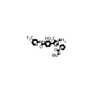 CC(C)(C)OC(=O)N1CCC[C@H]1c1nc(-c2ccc(C(=O)Nc3cc(C(F)(F)F)ccn3)cc2)c(C(=O)O)n1N